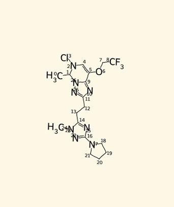 CC1N(Cl)C=C(OCC(F)(F)F)c2nc(CCc3nc(N4CCCC4)nn3C)nn21